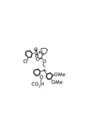 COc1ccc([C@@H](CCOC(=O)[C@@H]2CCCCN2S(=O)(=O)c2cccc(Cl)c2)c2ccccc2OCC(=O)O)cc1OC